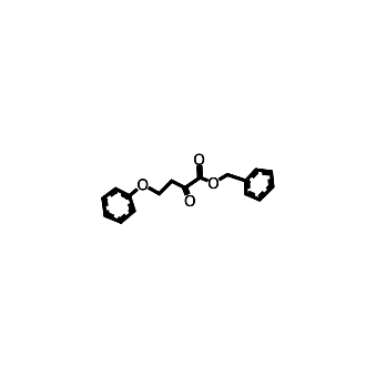 O=C(CCOc1ccccc1)C(=O)OCc1ccccc1